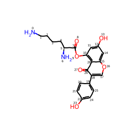 NCCCC[C@H](N)C(=O)Oc1cc(O)cc2occ(-c3ccc(O)cc3)c(=O)c12